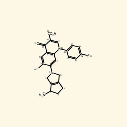 NC1CCC2=C1CN(c1cc3c(cc1F)c(=O)c(C(=O)O)cn3-c1ccc(F)cc1)C2